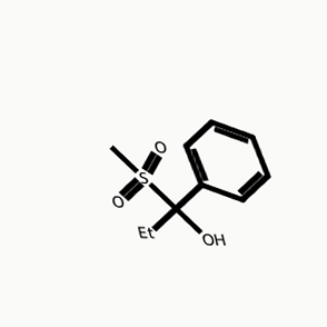 CCC(O)(c1ccccc1)S(C)(=O)=O